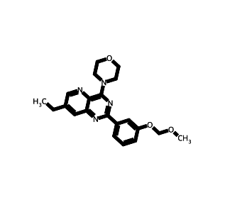 CCc1cnc2c(N3CCOCC3)nc(-c3cccc(OCOC)c3)nc2c1